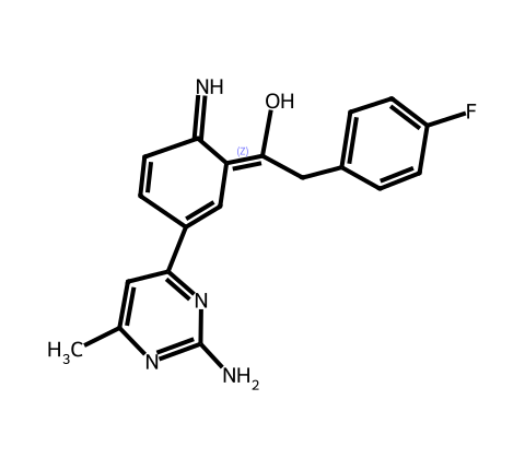 Cc1cc(C2=C/C(=C(/O)Cc3ccc(F)cc3)C(=N)C=C2)nc(N)n1